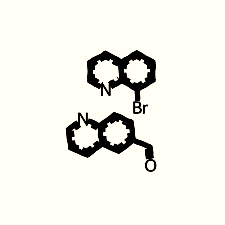 Brc1cccc2cccnc12.O=Cc1ccc2ncccc2c1